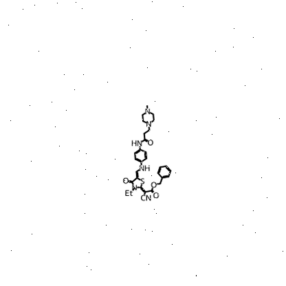 CCn1c(=C(C#N)C(=O)OCc2ccccc2)sc(=CNc2ccc(NC(=O)CCN3CCN(C)CC3)cc2)c1=O